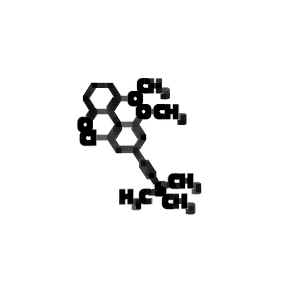 COC1=C(c2c(Cl)cc(C#CS(C)(C)C)cc2OC)C(=O)CCC1